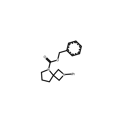 CC(C)N1CC2(CCCN2C(=O)OCc2ccccc2)C1